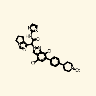 CCN1CCC(c2ccc(-c3cc(Cl)c4cn(C(C(=O)Nc5nccs5)c5ncn6c5CCC6)nc4c3Cl)cc2)CC1